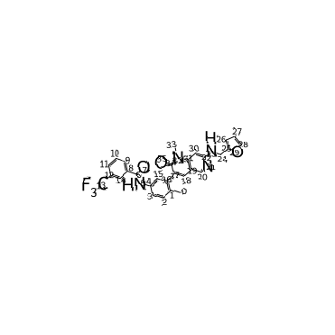 Cc1ccc(NC(=O)c2cccc(C(F)(F)F)c2)cc1-c1cc2cnc(NCc3ccco3)cc2n(C)c1=O